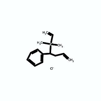 C=CCC(c1ccccc1)[N+](C)(C)C=C.[Cl-]